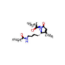 CCCCCCCC(=O)NCCCC[C@H]1C(OC)=CC(=O)N1C(=O)CCCCCCC